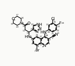 N#Cc1cnc2c(Br)cc(NC(CC(=O)N3CCOCC3)c3c[nH]nn3)cc2c1Nc1ccc(F)c(Cl)c1